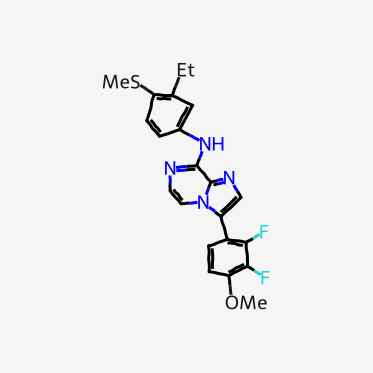 CCc1cc(Nc2nccn3c(-c4ccc(OC)c(F)c4F)cnc23)ccc1SC